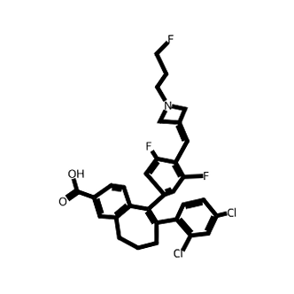 O=C(O)c1ccc2c(c1)CCCC(c1ccc(Cl)cc1Cl)=C2c1cc(F)c(C=C2CN(CCCF)C2)c(F)c1